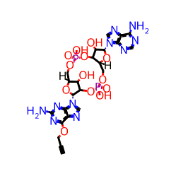 C#CCOc1nc(N)nc2c1ncn2[C@@H]1O[C@@H]2COP(=O)(O)OC3C(O)[C@H](n4cnc5c(N)ncnc54)O[C@@H]3COP(=O)(O)OC1C2O